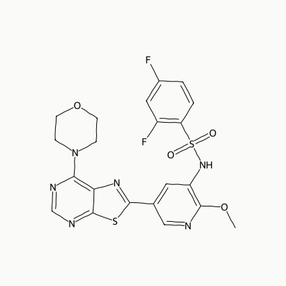 COc1ncc(-c2nc3c(N4CCOCC4)ncnc3s2)cc1NS(=O)(=O)c1ccc(F)cc1F